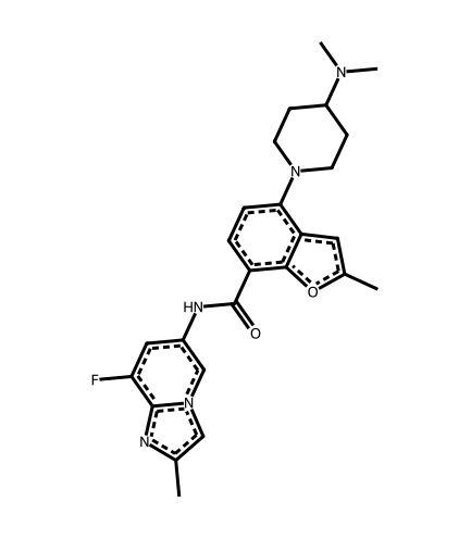 Cc1cn2cc(NC(=O)c3ccc(N4CCC(N(C)C)CC4)c4cc(C)oc34)cc(F)c2n1